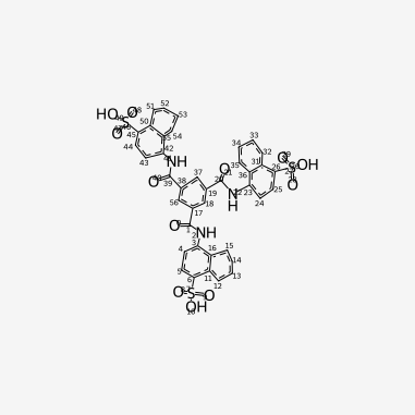 O=C(Nc1ccc(S(=O)(=O)O)c2ccccc12)c1cc(C(=O)Nc2ccc(S(=O)(=O)O)c3ccccc23)cc(C(=O)Nc2ccc(S(=O)(=O)O)c3ccccc23)c1